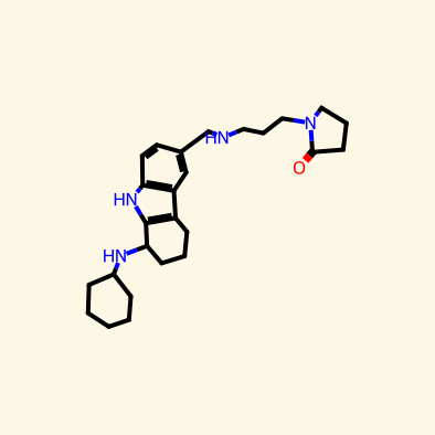 O=C1CCCN1CCCNCc1ccc2[nH]c3c(c2c1)CCCC3NC1CCCCC1